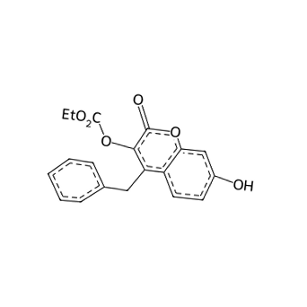 CCOC(=O)Oc1c(Cc2ccccc2)c2ccc(O)cc2oc1=O